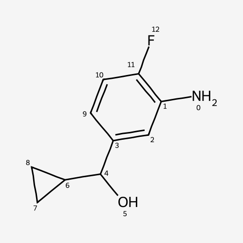 Nc1cc(C(O)C2CC2)ccc1F